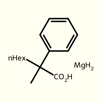 CCCCCCC(C)(C(=O)O)c1ccccc1.[MgH2]